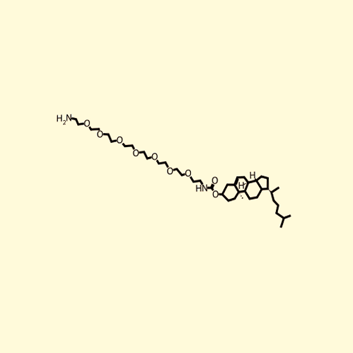 CC(C)CCCC(C)[C@H]1CC[C@@H]2C1CCC1[C@H]2CC=C2CC(OC(=O)NCCOCCOCCOCCOCCOCCOCCOCCN)CC[C@@]21C